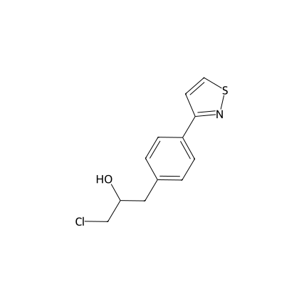 OC(CCl)Cc1ccc(-c2ccsn2)cc1